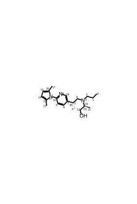 CCCN(C[C@H](C)c1ccc(-n2c(C)ccc2C)nc1)[C@@H](C)CO